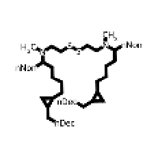 CCCCCCCCCCCC1CC1CCCCC(CCCCCCCCC)N(C)CCSSCCN(C)C(CCCCCCCCC)CCCCC1CC1CCCCCCCCCCC